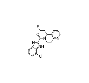 O=C(c1nc2cccc(Cl)c2[nH]1)N1CCc2ncccc2C1CCF